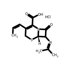 C/C=C\C1=C(C(=O)O)N2C(=O)C(N=C(C)C)[C@@H]2SC1.Cl